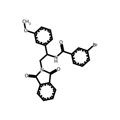 COc1cccc(C(CN2C(=O)c3ccccc3C2=O)NC(=O)c2cccc(Br)c2)c1